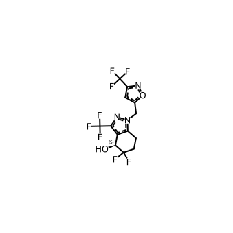 O[C@H]1c2c(C(F)(F)F)nn(Cc3cc(C(F)(F)F)no3)c2CCC1(F)F